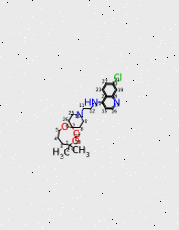 CC1(C)CCCOC2(CCN(CCNc3ccnc4cc(Cl)ccc34)CC2)OO1